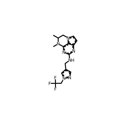 CC1Cn2ccc3nc(NCc4cnn(CC(F)(F)F)c4)nc(c32)N1C